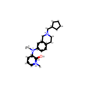 CC(C)N(c1ccc2c(c1)CN(CC1CCCC1)CC2)c1cccn(C)c1=O